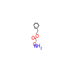 NOCC(=O)OCCc1ccccc1